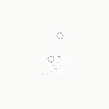 COc1cccc([C@@]23CCN(CC4CC4)C[C@H]2C(OC(C)=O)C[C@@H](N(C)C(=O)CCCCCc2ccccc2)C3)c1